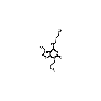 CCCn1c(=O)nc(NCCCO)c2c1ncn2C